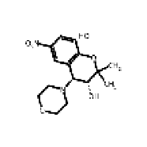 CC1(C)Oc2ccc([N+](=O)[O-])cc2[C@H](N2CCOCC2)[C@H]1O.Cl